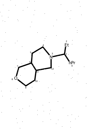 CCCC(CC)N1CCC2COCCC2C1